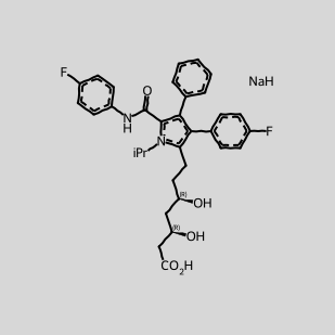 CC(C)n1c(CC[C@@H](O)C[C@@H](O)CC(=O)O)c(-c2ccc(F)cc2)c(-c2ccccc2)c1C(=O)Nc1ccc(F)cc1.[NaH]